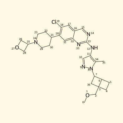 COCC12CCC1C(n1ncc(Nc3ncc4cc(Cl)c(C5CCN(C6COC6)CC5)cc4n3)c1C)C2